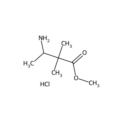 COC(=O)C(C)(C)C(C)N.Cl